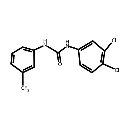 O=C(Nc1cccc(C(F)(F)F)c1)Nc1ccc(Cl)c(Cl)c1